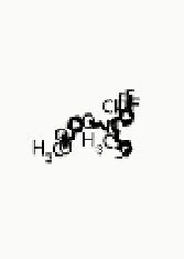 COC(=O)Cc1cccc(OCCCN(Cc2cccc(C(F)(F)F)c2Cl)CC(C)c2cccs2)c1